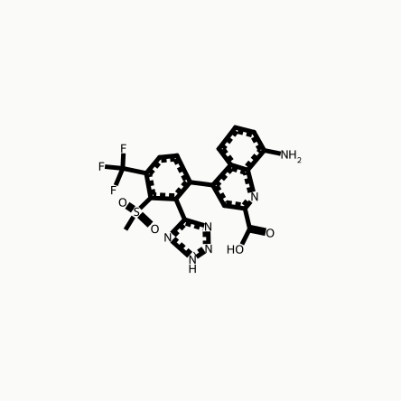 CS(=O)(=O)c1c(C(F)(F)F)ccc(-c2cc(C(=O)O)nc3c(N)cccc23)c1-c1nn[nH]n1